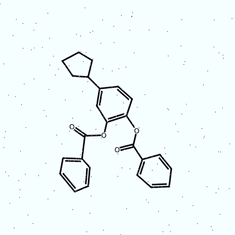 O=C(Oc1ccc(C2CCCC2)cc1OC(=O)c1ccccc1)c1ccccc1